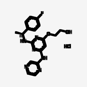 C[C@H](Nc1nc(Nc2cnccn2)cc(OCCO)n1)c1ccc(F)cc1.Cl